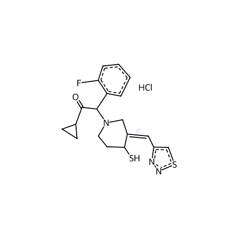 Cl.O=C(C1CC1)C(c1ccccc1F)N1CCC(S)/C(=C\c2csnn2)C1